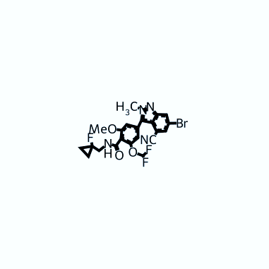 COc1cc(-c2c3c(C#N)cc(Br)cc3nn2C)cc(OC(F)F)c1C(=O)NCC1(F)CC1